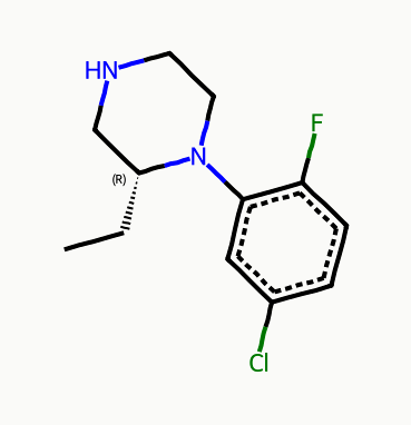 CC[C@@H]1CNCCN1c1cc(Cl)ccc1F